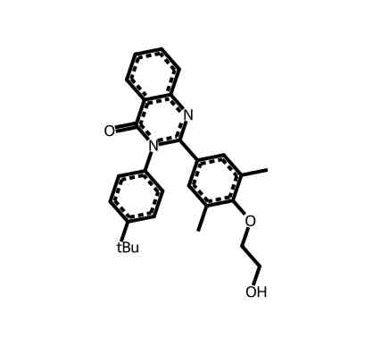 Cc1cc(-c2nc3ccccc3c(=O)n2-c2ccc(C(C)(C)C)cc2)cc(C)c1OCCO